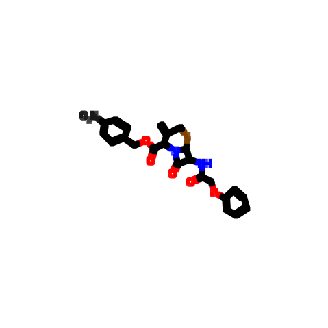 C=C1CSC2C(NC(=O)COc3ccccc3)C(=O)N2C1C(=O)OCc1ccc([N+](=O)[O-])cc1